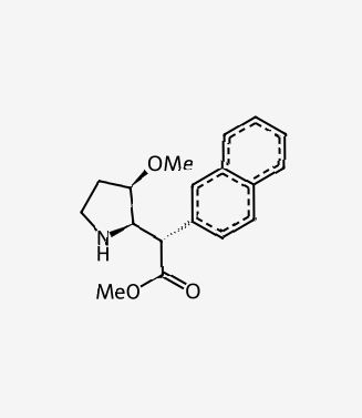 COC(=O)[C@@H](c1ccc2ccccc2c1)[C@H]1NCC[C@H]1OC